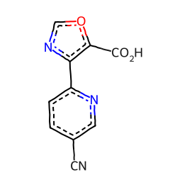 N#Cc1ccc(-c2ncoc2C(=O)O)nc1